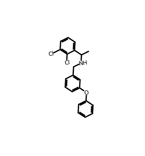 CC(NCc1cccc(Oc2ccccc2)c1)c1cccc(Cl)c1Cl